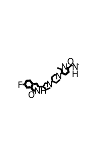 CNC(=O)c1ccc(N2CCC(N3CCC(c4cc5ccc(F)cc5c(=O)[nH]4)C3)CC2)c(C)n1